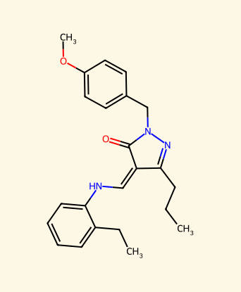 CCCC1=NN(Cc2ccc(OC)cc2)C(=O)C1=CNc1ccccc1CC